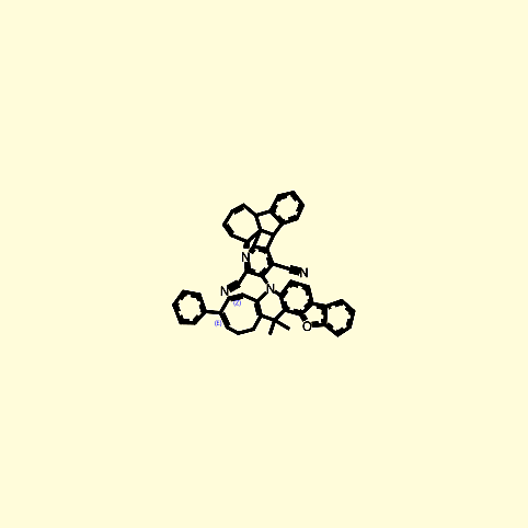 C=C1C=CC=CC2c3ccccc3C3c4c(nc(C#N)c(N5C6=C(CC/C=C(c7ccccc7)\C=C/6)C(C)(C)c6c5ccc5c6oc6ccccc65)c4C#N)C123